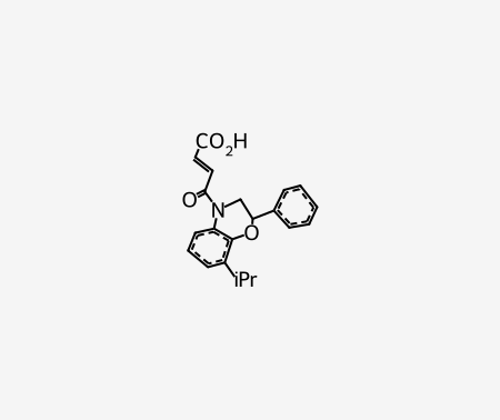 CC(C)c1cccc2c1OC(c1ccccc1)CN2C(=O)C=CC(=O)O